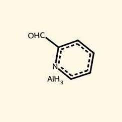 O=Cc1ccccn1.[AlH3]